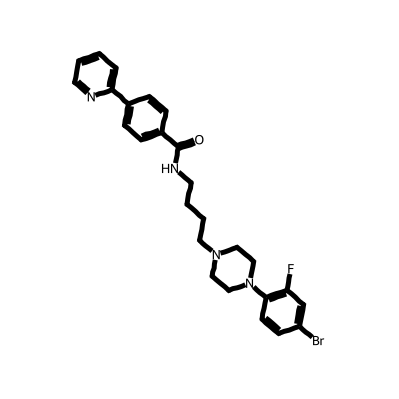 O=C(NCCCCN1CCN(c2ccc(Br)cc2F)CC1)c1ccc(-c2ccccn2)cc1